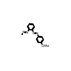 C/N=N/c1ccccc1/N=N/c1ccc(OC)cc1